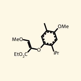 CCOC(=O)C(=COC)Oc1cc(C)c(OC)cc1C(C)C